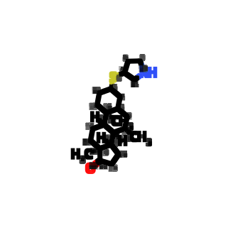 C[C@@H]1CC2C[C@H](SC3CCNC3)CC[C@]2(C)[C@H]2CC[C@]3(C)C(=O)CC[C@H]3[C@H]12